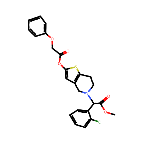 COC(=O)C(c1ccccc1Cl)N1CCc2sc(OC(=O)COc3ccccc3)cc2C1